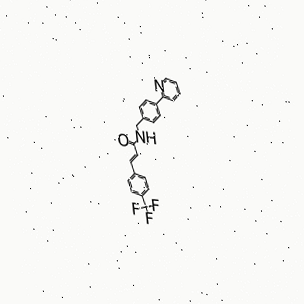 O=C(C=Cc1ccc(C(F)(F)F)cc1)NCc1ccc(-c2ccccn2)cc1